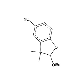 CC(C)COC1Oc2ccc(C#N)cc2C1(C)C